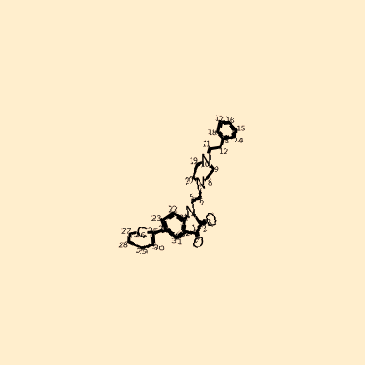 O=C1C(=O)N(CCN2CCN(CCc3ccccc3)CC2)c2ccc(C3CCCCC3)cc21